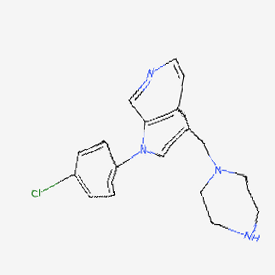 Clc1ccc(-n2cc(CN3CCNCC3)c3ccncc32)cc1